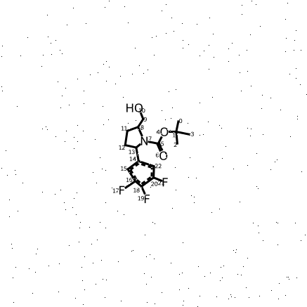 CC(C)(C)OC(=O)N1C(CO)CCC1c1cc(F)c(F)c(F)c1